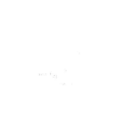 CCCCCCC[CH2][Al]([CH2]CCCCCCC)[O]Cc1ccco1